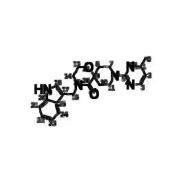 Cc1ccnc(N2CCC3(CC2)OCCN(Cc2c[nH]c4ccccc24)C3=O)n1